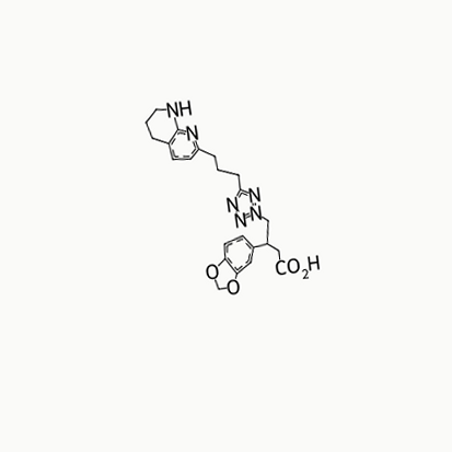 O=C(O)CC(Cn1nnc(CCCc2ccc3c(n2)NCCC3)n1)c1ccc2c(c1)OCO2